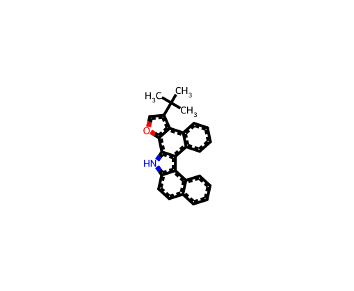 CC(C)(C)c1coc2c3[nH]c4ccc5ccccc5c4c3c3ccccc3c12